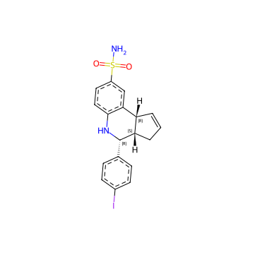 NS(=O)(=O)c1ccc2c(c1)[C@@H]1C=CC[C@@H]1[C@H](c1ccc(I)cc1)N2